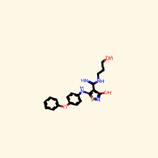 N=C(NCCCO)c1c(O)nsc1Nc1ccc(Oc2ccccc2)cc1